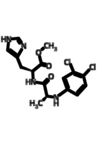 COC(=O)[C@H](Cc1c[nH]cn1)NC(=O)[C@H](C)Nc1ccc(Cl)c(Cl)c1